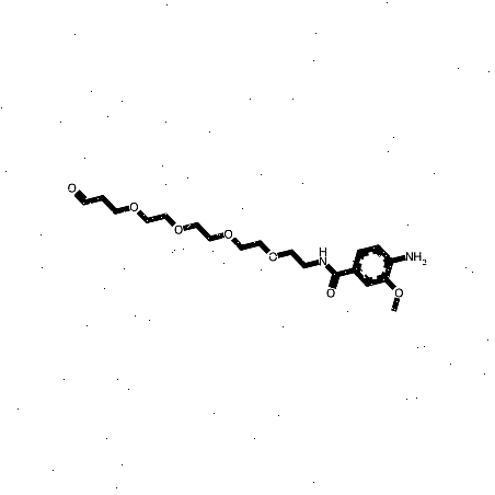 COc1cc(C(=O)NCCOCCOCCOCCOCCC=O)ccc1N